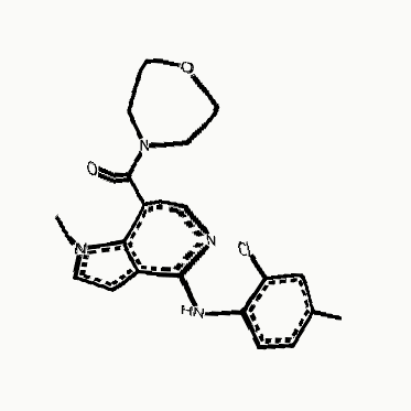 Cc1ccc(Nc2ncc(C(=O)N3CCOCC3)c3c2ccn3C)c(Cl)c1